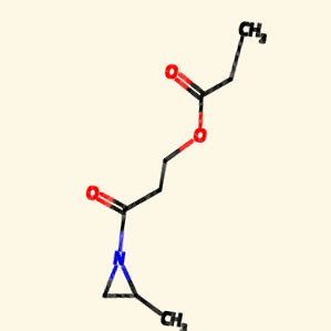 CCC(=O)OCCC(=O)N1CC1C